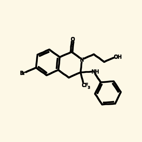 O=C1c2ccc(Br)cc2CC(Nc2ccccc2)(C(F)(F)F)N1CCO